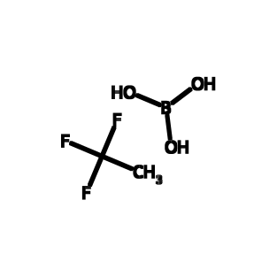 CC(F)(F)F.OB(O)O